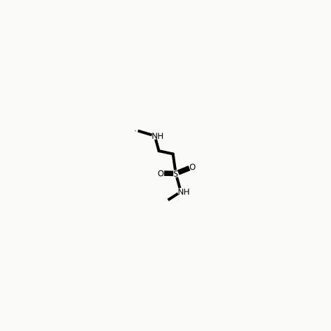 [CH2]NCCS(=O)(=O)NC